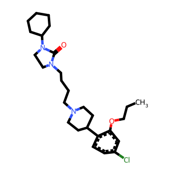 CCCOc1cc(Cl)ccc1C1CCN(CCCCN2CCN(C3CCCCC3)C2=O)CC1